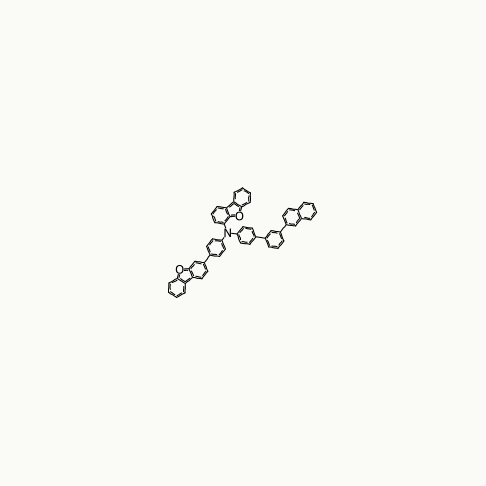 c1cc(-c2ccc(N(c3ccc(-c4ccc5c(c4)oc4ccccc45)cc3)c3cccc4c3oc3ccccc34)cc2)cc(-c2ccc3ccccc3c2)c1